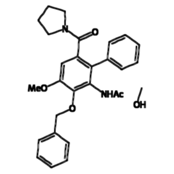 CO.COc1cc(C(=O)N2CCCC2)c(-c2ccccc2)c(NC(C)=O)c1OCc1ccccc1